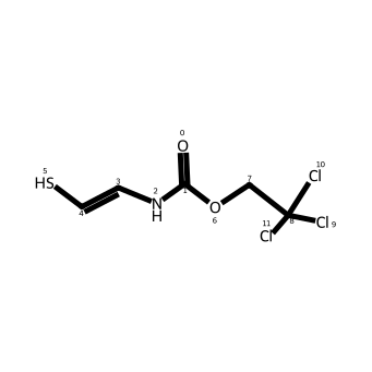 O=C(NC=CS)OCC(Cl)(Cl)Cl